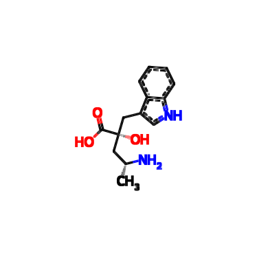 C[C@@H](N)C[C@](O)(Cc1c[nH]c2ccccc12)C(=O)O